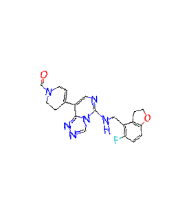 O=CN1CC=C(c2cnc(NCc3c(F)ccc4c3CCO4)n3cnnc23)CC1